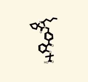 CCCCC1=NC2(CCCC2)C(=O)N1Cc1ccc(C(=O)c2ccccc2OC(C)(C)C(=O)O)cc1